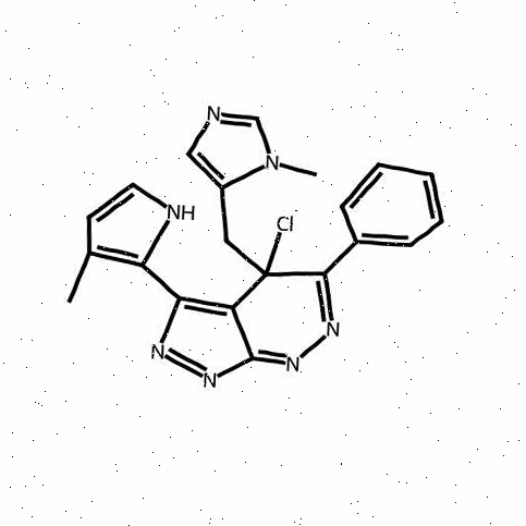 Cc1cc[nH]c1C1=C2C(=NN=C(c3ccccc3)C2(Cl)Cc2cncn2C)N=N1